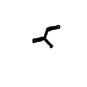 O=[C]C(=O)[S]